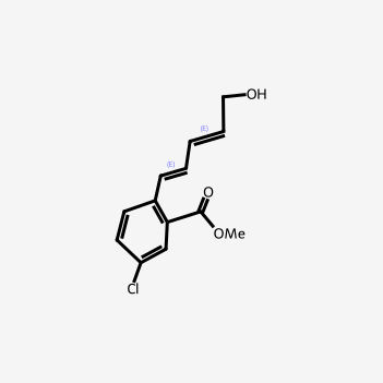 COC(=O)c1cc(Cl)ccc1/C=C/C=C/CO